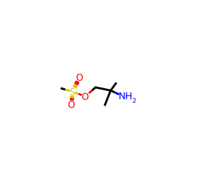 CC(C)(N)COS(C)(=O)=O